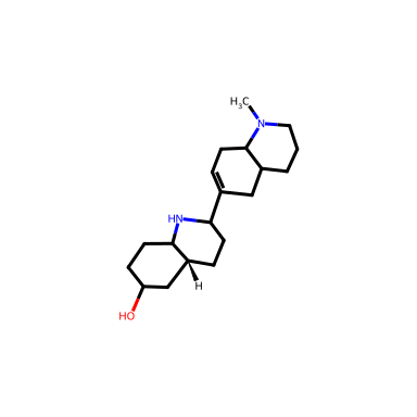 CN1CCCC2CC(C3CC[C@@H]4CC(O)CCC4N3)=CCC21